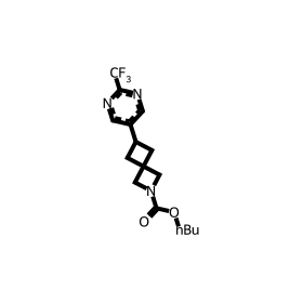 CCCCOC(=O)N1CC2(CC(c3cnc(C(F)(F)F)nc3)C2)C1